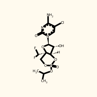 CC(C)OP1(=O)OC[C@@]2(C(F)F)O[C@@H](n3cc(Cl)c(N)nc3=O)[C@H](O)[C@H]2O1